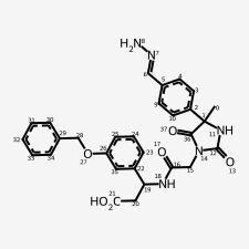 CC1(c2ccc(C=NN)cc2)NC(=O)N(CC(=O)NC(CC(=O)O)c2cccc(OCc3ccccc3)c2)C1=O